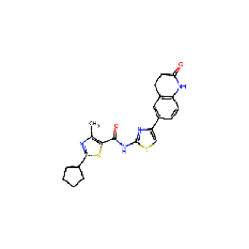 Cc1nc(C2CCCC2)sc1C(=O)Nc1nc(-c2ccc3c(c2)CCC(=O)N3)cs1